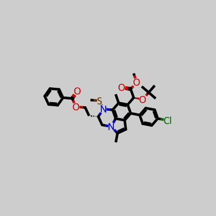 COC(=O)[C@@H](OC(C)(C)C)c1c(C)c2c3c(cc(C)n3C[C@H](CCOC(=O)c3ccccc3)N2SC)c1-c1ccc(Cl)cc1